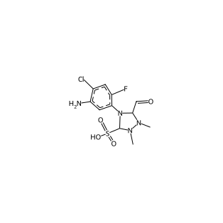 CN1C(C=O)N(c2cc(N)c(Cl)cc2F)C(S(=O)(=O)O)N1C